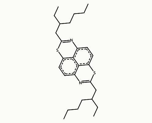 CCCCC(CC)CC1=Nc2ccc3c4c(ccc(c24)S1)N=C(CC(CC)CCCC)S3